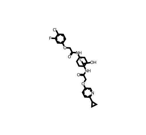 O=C(COc1ccc(Cl)c(F)c1)NC12CCC(NC(=O)COc3ccc(C4CC4)nc3)(CC1)C(O)C2